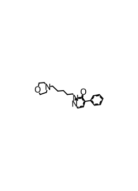 O=c1c(-c2ccccc2)ccnn1CCCCCN1CCOCC1